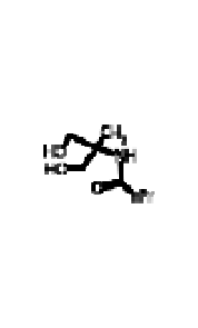 CCCC(=O)NC(C)(CO)CO